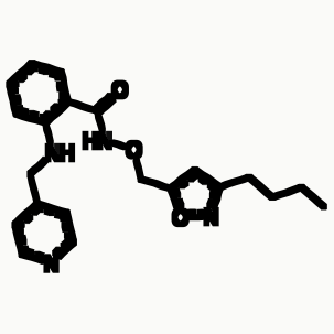 CCCCc1cc(CONC(=O)c2ccccc2NCc2ccncc2)on1